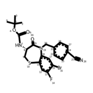 CC(C)(C)OC(=O)N[C@H]1CSc2cc(F)c(Br)cc2N(Cc2ccc(C#N)cc2)C1=O